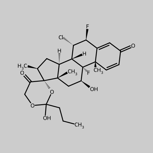 CCCC1(O)OCC(=O)[C@@]2(O1)[C@@H](C)C[C@H]1[C@@H]3[C@H](Cl)[C@@H](F)C4=CC(=O)C=C[C@]4(C)[C@@]3(F)[C@@H](O)C[C@@]12C